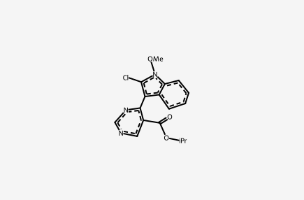 COn1c(Cl)c(-c2ncncc2C(=O)OC(C)C)c2ccccc21